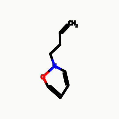 C=CCCN1C=CC=CO1